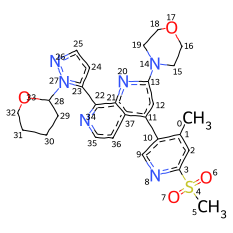 Cc1cc(S(C)(=O)=O)ncc1-c1cc(N2CCOCC2)nc2c(-c3ccnn3C3CCCCO3)nccc12